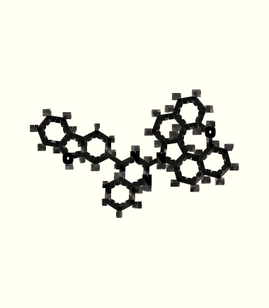 c1ccc2c(-c3ccc4c(c3)oc3ccccc34)nc(-n3c4ccc5cccc6oc7cccc8ccc3c(c87)c4c56)nc2c1